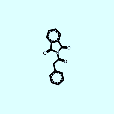 O=C(Cc1ccccc1)N1C(=O)c2ccccc2C1=O